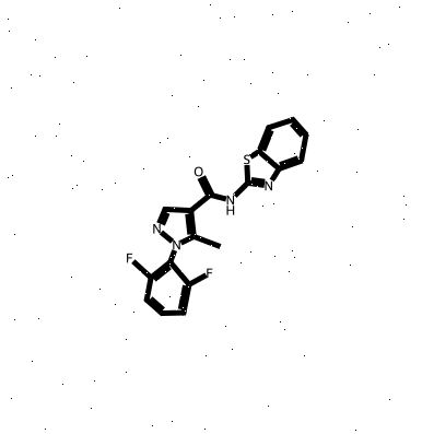 Cc1c(C(=O)Nc2nc3ccccc3s2)cnn1-c1c(F)cccc1F